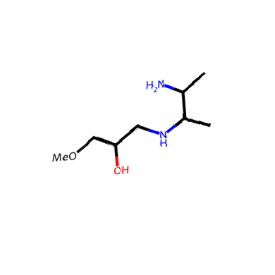 COCC(O)CNC(C)C(C)N